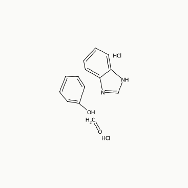 C=O.Cl.Cl.Oc1ccccc1.c1ccc2[nH]cnc2c1